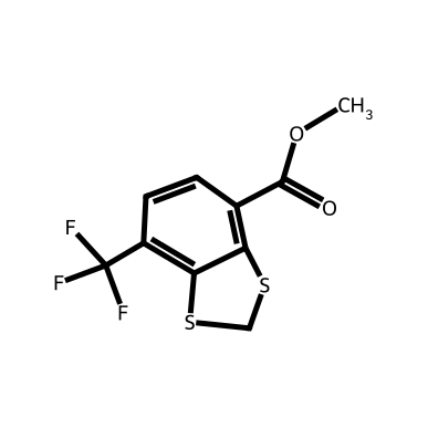 COC(=O)c1ccc(C(F)(F)F)c2c1SCS2